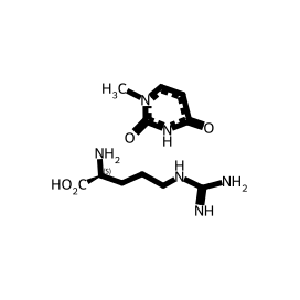 Cn1ccc(=O)[nH]c1=O.N=C(N)NCCC[C@H](N)C(=O)O